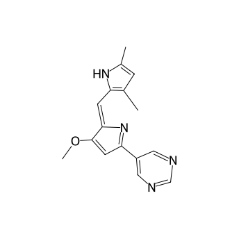 COC1=CC(c2cncnc2)=N/C1=C\c1[nH]c(C)cc1C